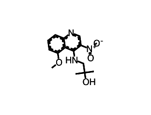 COc1cccc2ncc([N+](=O)[O-])c(NCC(C)(C)O)c12